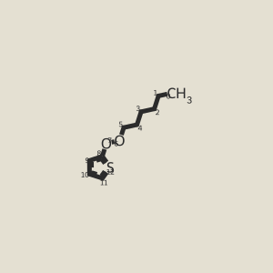 CCCCCCOOc1cccs1